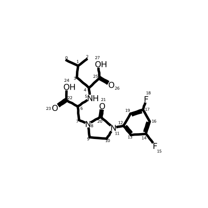 CC(C)CC(NC(CN1CCN(c2cc(F)cc(F)c2)C1=O)C(=O)O)C(=O)O